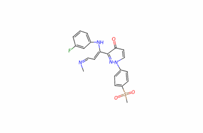 C/N=C\C=C(/Nc1cccc(F)c1)c1nn(-c2ccc(S(C)(=O)=O)cc2)ccc1=O